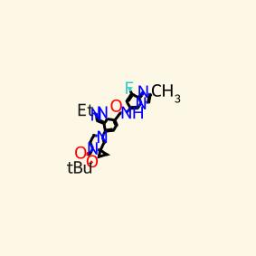 CCn1cc2c(N3CCN(C(=O)OC(C)(C)C)C4(CC4)C3)ccc(C(=O)Nc3cc(F)c4nc(C)cn4c3)c2n1